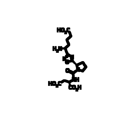 N[C@@H](CCCC(=O)O)c1noc([C@@H]2CCCN2C(=O)N[C@@H](CC(=O)O)C(=O)O)n1